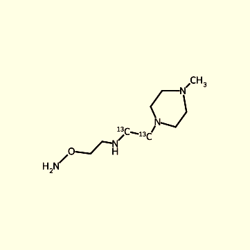 CN1CCN([13CH2][13CH2]NCCON)CC1